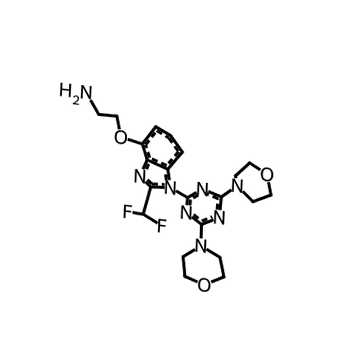 NCCOc1cccc2c1nc(C(F)F)n2-c1nc(N2CCOCC2)nc(N2CCOCC2)n1